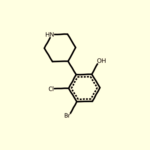 Oc1ccc(Br)c(Cl)c1C1CCNCC1